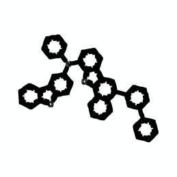 c1ccc(-c2cccc(-c3cc4c5cccc(N(c6ccccc6)c6ccc7oc8ccccc8c7c6)c5oc4c4ccccc34)c2)cc1